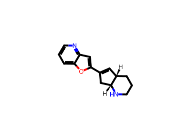 C1=C(c2cc3ncccc3o2)C[C@H]2NCCC[C@@H]12